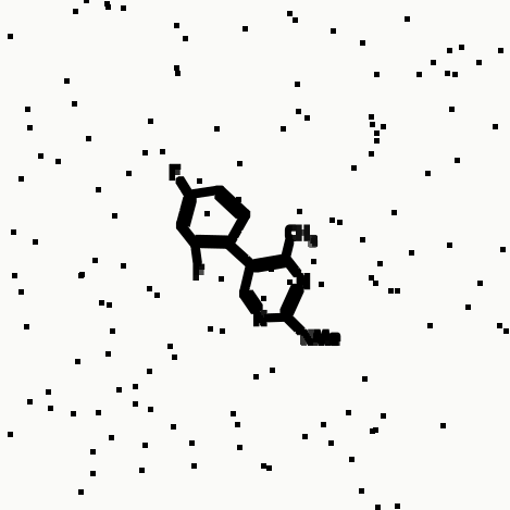 CNc1ncc(-c2ccc(F)cc2F)c(C)n1